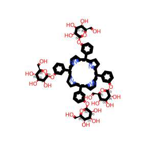 OC[C@H]1O[C@@H](Oc2cccc(-c3c4nc(c(-c5cccc(O[C@@H]6O[C@H](CO)[C@@H](O)[C@H](O)[C@H]6O)c5)c5ccc([nH]5)c(-c5cccc(O[C@@H]6O[C@H](CO)[C@@H](O)[C@H](O)[C@H]6O)c5)c5nc(c(-c6cccc(O[C@@H]7O[C@H](CO)[C@@H](O)[C@H](O)[C@H]7O)c6)c6ccc3[nH]6)CC5)C=C4)c2)[C@H](O)[C@@H](O)[C@@H]1O